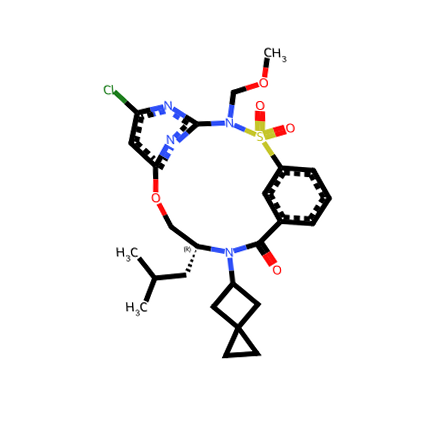 COCN1c2nc(Cl)cc(n2)OC[C@@H](CC(C)C)N(C2CC3(CC3)C2)C(=O)c2cccc(c2)S1(=O)=O